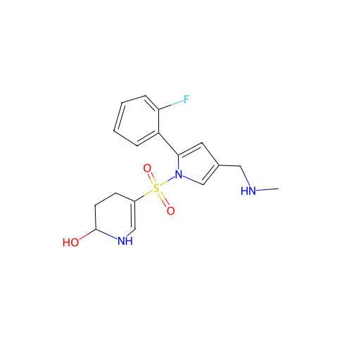 CNCc1cc(-c2ccccc2F)n(S(=O)(=O)C2=CNC(O)CC2)c1